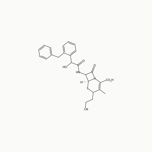 CC1=C(C(=O)O)N2C(=O)C(NC(=O)C(O)c3ccccc3Cc3ccccc3)[C@@H]2SC1CCC#N